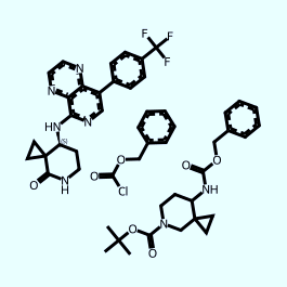 CC(C)(C)OC(=O)N1CCC(NC(=O)OCc2ccccc2)C2(CC2)C1.O=C(Cl)OCc1ccccc1.O=C1NCC[C@H](Nc2ncc(-c3ccc(C(F)(F)F)cc3)c3nccnc23)C12CC2